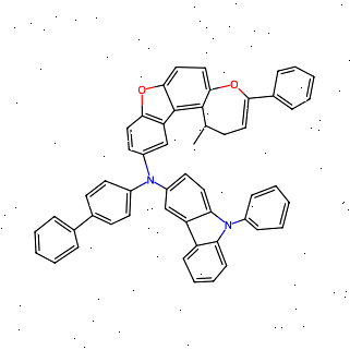 CC1CC=C(c2ccccc2)Oc2ccc3oc4ccc(N(c5ccc(-c6ccccc6)cc5)c5ccc6c(c5)c5ccccc5n6-c5ccccc5)cc4c3c21